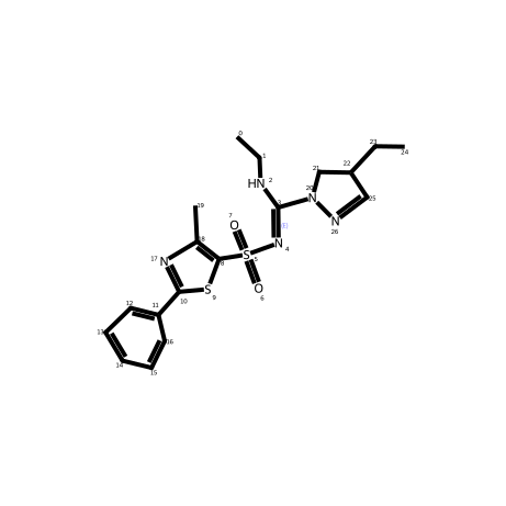 CCN/C(=N\S(=O)(=O)c1sc(-c2ccccc2)nc1C)N1CC(CC)C=N1